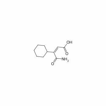 NC(=O)/C(=C\C(=O)O)C1CCCCC1